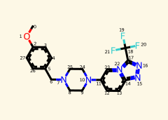 COc1ccc(CN2CCN(c3ccc4nnc(C(F)(F)F)n4c3)CC2)cc1